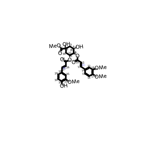 COC(=O)[C@]1(O)C[C@@H](O)[C@@H](OC(=O)/C=C/c2ccc(OC)c(OC)c2)[C@H](OC(=O)/C=C/c2ccc(O)c(OC)c2)C1